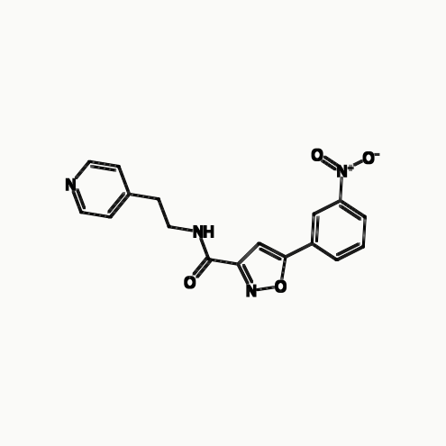 O=C(NCCc1ccncc1)c1cc(-c2cccc([N+](=O)[O-])c2)on1